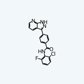 O=C(Nc1c(F)cccc1Cl)c1ccc(-c2n[nH]c3ncccc23)cc1